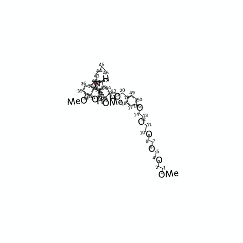 COCCOCCOCCOCCOCCOc1ccc(COC[C@H]2C[C@@]34CC[C@]2(OC)[C@@H]2Oc5c(OC)ccc6c5[C@@]23CCN(CC2CC2)[C@@H]4C6)cc1